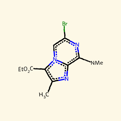 CCOC(=O)c1c(C)nc2c(NC)nc(Br)cn12